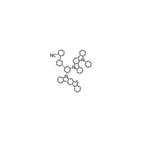 N#Cc1ccccc1-c1cccc(-c2cc(-n3c4ccccc4c4cc5c(cc43)sc3ccccc35)cc(-n3c4ccccc4c4c3ccc3c5ccccc5n(-c5ccccc5)c34)c2)c1